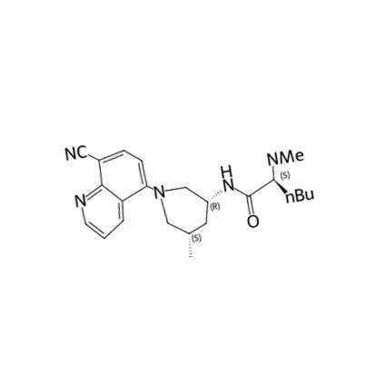 CCCC[C@H](NC)C(=O)N[C@@H]1C[C@H](C)CN(c2ccc(C#N)c3ncccc23)C1